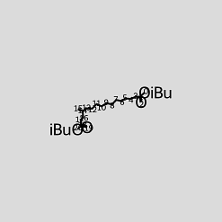 CC(C)COC(=O)CCCCCCCCCCCC(C)CCC(=O)OCC(C)C